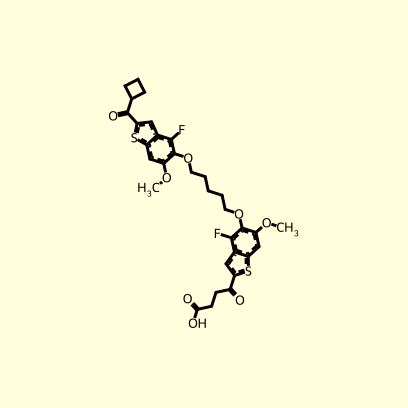 COc1cc2sc(C(=O)CCC(=O)O)cc2c(F)c1OCCCCCOc1c(OC)cc2sc(C(=O)C3CCC3)cc2c1F